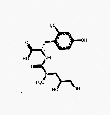 Cc1cc(O)ccc1C[C@H](NC(=O)N(C)CC(O)CO)C(=O)O